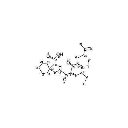 CCc1c(CI)cc(C(=O)NCC2(CC(=O)O)CCCCC2)c(=O)n1CCC(C)C